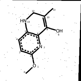 COc1ccc2c(n1)C(O)=C(C)CN2